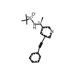 C[C@H](N[S@@+]([O-])C(C)(C)C)c1cncc(C#Cc2ccccc2)c1